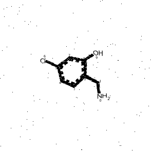 NCc1ccc(Cl)cc1O